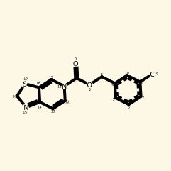 O=C(OCc1cccc(Cl)c1)N1C=CC2=NCSC2=C1